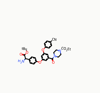 CCOC(=O)N1CCN(C(=O)c2cc(Oc3ccc(C#N)cc3)cc(Oc3ccc(C(N)C(=O)OC(C)(C)C)cc3)c2)CC1